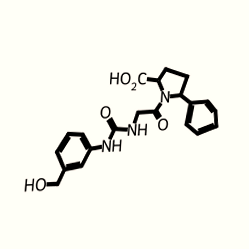 O=C(NCC(=O)N1C(C(=O)O)CCC1c1ccccc1)Nc1cccc(CO)c1